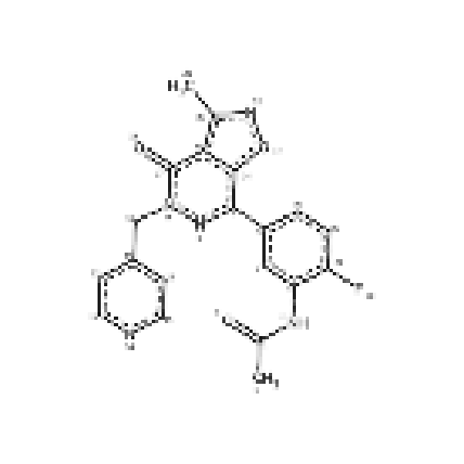 CC(=O)Nc1cc(-c2nn(Cc3ccncc3)c(=O)c3c(C)noc23)ccc1F